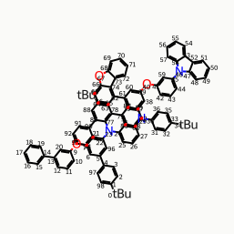 CC(C)(C)c1ccc(-c2cc(Oc3cccc(-c4ccccc4)c3)cc(N(c3cccc(N(c4ccc(C(C)(C)C)cc4)c4cc(Oc5cccc(-n6c7ccccc7c7ccccc76)c5)cc(-c5cccc6oc7ccccc7c56)c4)c3)c3c(-c4ccccc4)cc(C(C)(C)C)cc3-c3ccccc3)c2)cc1